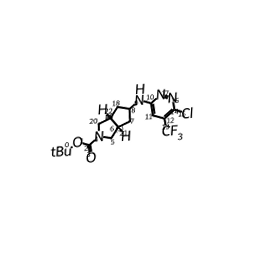 CC(C)(C)OC(=O)N1C[C@H]2CC(Nc3cc(C(F)(F)F)c(Cl)nn3)C[C@H]2C1